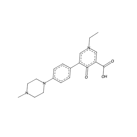 CCn1cc(C(=O)O)c(=O)c(-c2ccc(N3CCN(C)CC3)cc2)c1